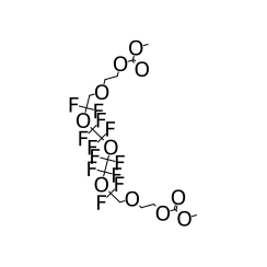 COC(=O)OCCOCC(F)(F)OC(F)(F)C(F)(F)OC(F)(F)C(F)(F)OC(F)(F)COCCOC(=O)OC